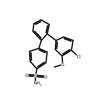 COc1cc(-c2ccccc2-c2ccc(S(N)(=O)=O)cc2)ccc1Cl